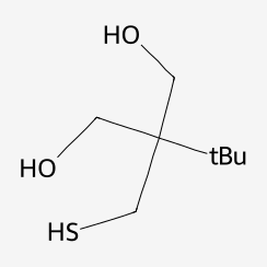 CC(C)(C)C(CO)(CO)CS